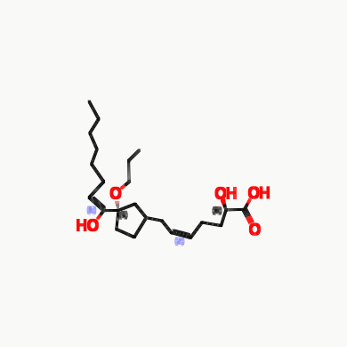 CCCCCC/C=C(/O)[C@]1(OCCC)CCC(C/C=C\CC[C@@H](O)C(=O)O)C1